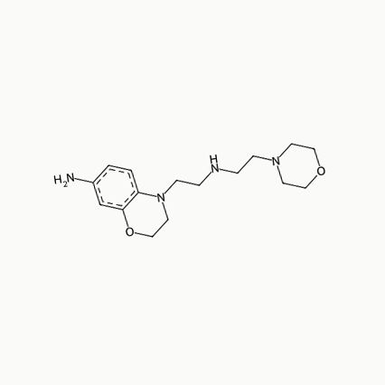 Nc1ccc2c(c1)OCCN2CCNCCN1CCOCC1